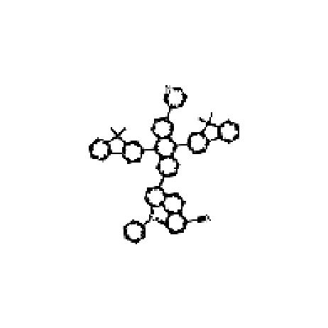 CC1(C)c2ccccc2-c2ccc(-c3c4ccc(-c5ccc6c7c5ccc5c(C#N)ccc(c57)n6-c5ccccc5)cc4c(-c4ccc5c(c4)C(C)(C)c4ccccc4-5)c4ccc(-c5cccnc5)cc34)cc21